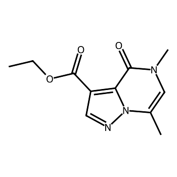 CCOC(=O)c1cnn2c(C)cn(C)c(=O)c12